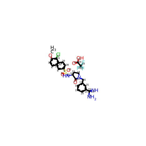 COc1ccc2cc(S(=O)(=O)N[C@H]3CCN(Cc4cccc(C(=N)N)c4)C3=O)ccc2c1Cl.O=C(O)C(F)(F)F